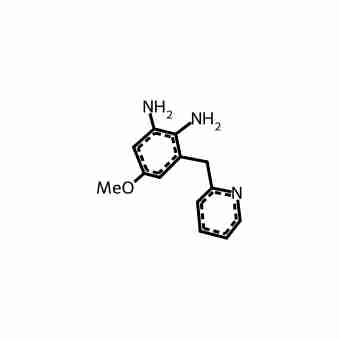 COc1cc(N)c(N)c(Cc2ccccn2)c1